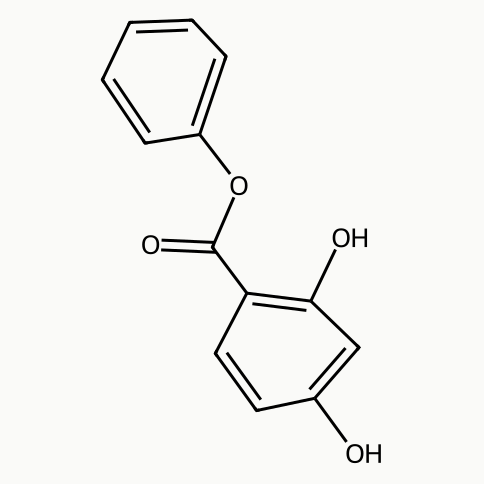 O=C(Oc1ccccc1)c1ccc(O)cc1O